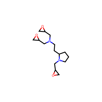 C1CC(CCN(CC2CO2)CC2CO2)N(CC2CO2)C1